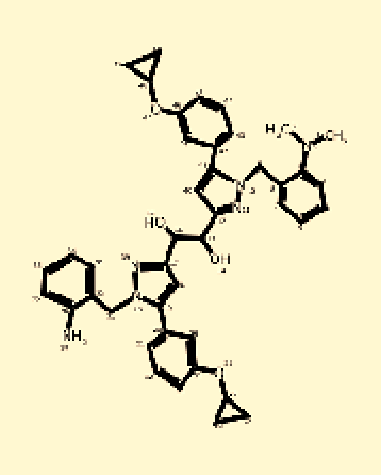 CN(C)c1ccccc1Cn1nc(C(O)C(O)c2cc(-c3cccc(OC4CC4)c3)n(Cc3ccccc3N)n2)cc1-c1cccc(OC2CC2)c1